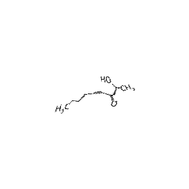 CCCCC=CC(=O)C(C)O